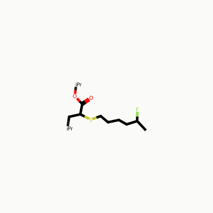 CC(C)CC(SCCCCC(C)F)C(=O)OC(C)C